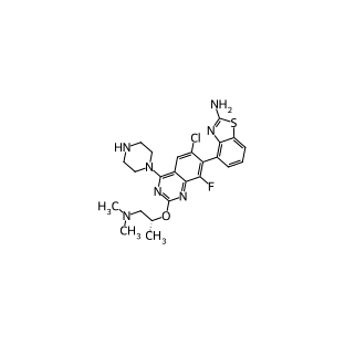 C[C@H](CN(C)C)Oc1nc(N2CCNCC2)c2cc(Cl)c(-c3cccc4sc(N)nc34)c(F)c2n1